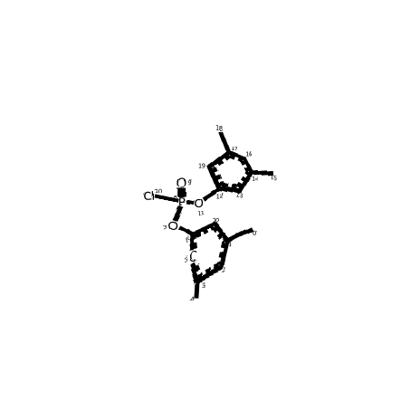 Cc1cc(C)cc(OP(=O)(Cl)Oc2cc(C)cc(C)c2)c1